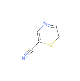 N#CC1=CN=CCS1